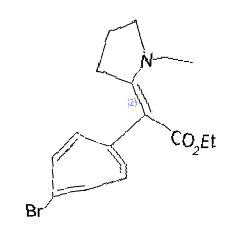 CCOC(=O)/C(=C1/CCCN1C)c1ccc(Br)cc1